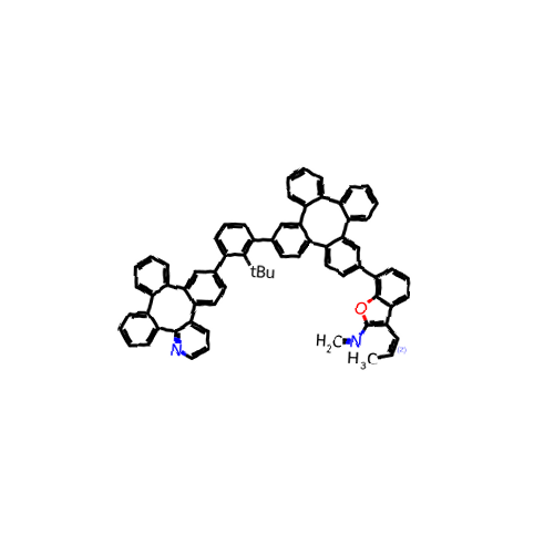 C=Nc1oc2c(-c3ccc4c(c3)-c3ccccc3-c3ccccc3-c3cc(-c5cccc(-c6ccc7c(c6)-c6ccccc6-c6ccccc6-c6ncccc6-7)c5C(C)(C)C)ccc3-4)cccc2c1/C=C\C